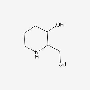 OCC1NCCCC1O